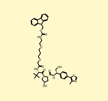 Cc1ncsc1-c1ccc([C@H](CO)NC(=O)[C@@H]2C[C@@H](O)CN2C(=O)[C@@H](NC(=O)COCCCOCCNC(=O)OCC2c3ccccc3-c3ccccc32)C(C)(C)C)cc1